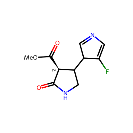 COC(=O)[C@@H]1C(=O)NCC1C1C=NC=C1F